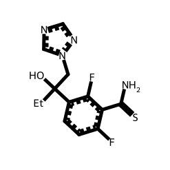 CCC(O)(Cn1cncn1)c1ccc(F)c(C(N)=S)c1F